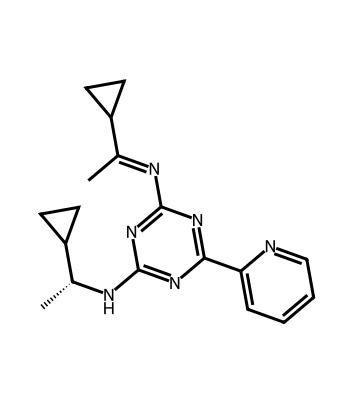 C/C(=N\c1nc(N[C@H](C)C2CC2)nc(-c2ccccn2)n1)C1CC1